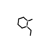 CCN1CCCCB1C